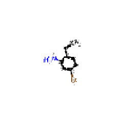 C=Cc1ccc(Br)cc1N